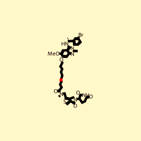 COc1cc2c(N[C@H](C)c3cccc(Br)c3)nc(C)nc2cc1OCCCCCCCCCC(=O)N(C)Cc1scc2c1CN(C1CCC(=O)NC1=O)C2=O